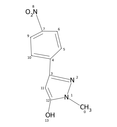 Cn1nc(-c2ccc([N+](=O)[O-])cc2)cc1O